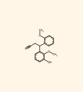 COc1ccccc1C(CC#N)c1cccc(O)c1OC